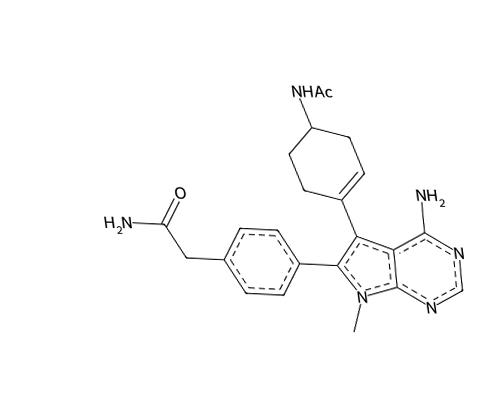 CC(=O)NC1CC=C(c2c(-c3ccc(CC(N)=O)cc3)n(C)c3ncnc(N)c23)CC1